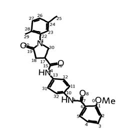 COc1ccccc1C(=O)Nc1ccc(NC(=O)C2CC(=O)N(c3cc(C)ccc3C)C2)cc1